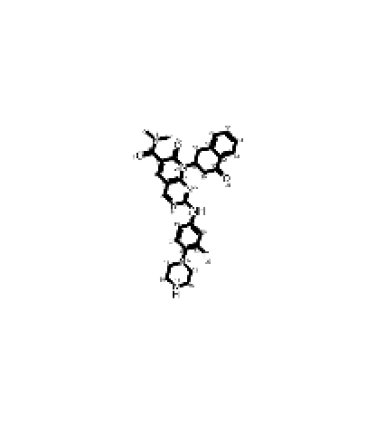 CN(C)C(=O)c1cc2cnc(Nc3ccc(N4CCNCC4)c(F)c3)nc2n(C2CC(=O)c3ccccc3C2)c1=O